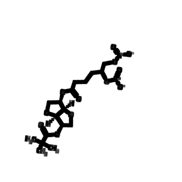 CC(C)(C)C(=O)O[C@@H]1CO[C@H]2[C@@H]1OC[C@H]2OC(=O)CCCC(CO[N+](=O)[O-])O[N+](=O)[O-]